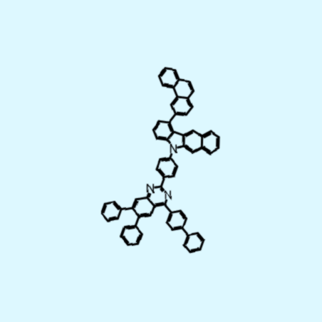 c1ccc(-c2ccc(-c3nc(-c4ccc(-n5c6cc7ccccc7cc6c6c(-c7ccc8ccc9ccccc9c8c7)cccc65)cc4)nc4cc(-c5ccccc5)c(-c5ccccc5)cc34)cc2)cc1